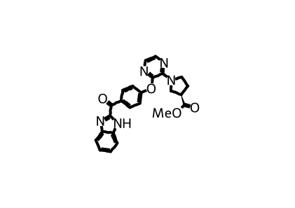 COC(=O)[C@@H]1CCN(c2nccnc2Oc2ccc(C(=O)c3nc4ccccc4[nH]3)cc2)C1